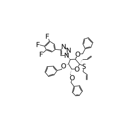 C=CCS[C@@]1(CC=C)O[C@H](COCc2ccccc2)[C@H](OCc2ccccc2)[C@H](n2cc(-c3cc(F)c(F)c(F)c3)nn2)[C@H]1OCc1ccccc1